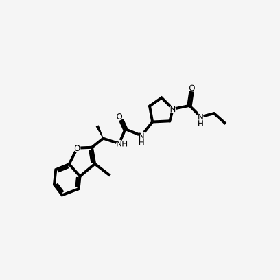 CCNC(=O)N1CCC(NC(=O)N[C@H](C)c2oc3ccccc3c2C)C1